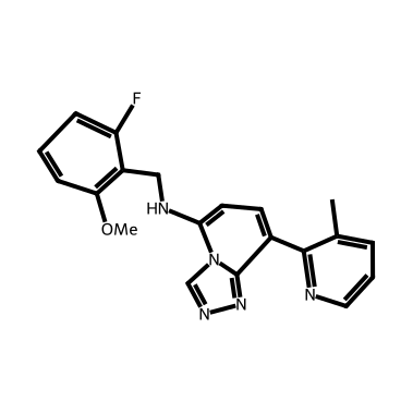 COc1cccc(F)c1CNc1ccc(-c2ncccc2C)c2nncn12